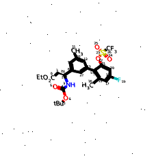 CCOC(=O)C[C@H](NC(=O)OC(C)(C)C)c1cc(C)cc(-c2c(C)cc(F)cc2OS(=O)(=O)C(F)(F)F)c1